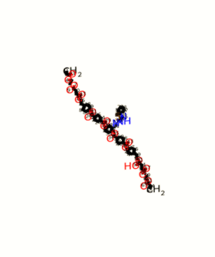 C=CC(=O)OCCOC(=O)CCC(=O)OCCc1ccc(OC(=O)C2CCC(C(=O)Oc3ccc(OC(=O)C4CCC(C(=O)Oc5ccc(CCOC(O)CCC(=O)OCCOC(=O)C=C)cc5)CC4)c(/C=N/Nc4nc5ccccc5s4)c3)CC2)cc1